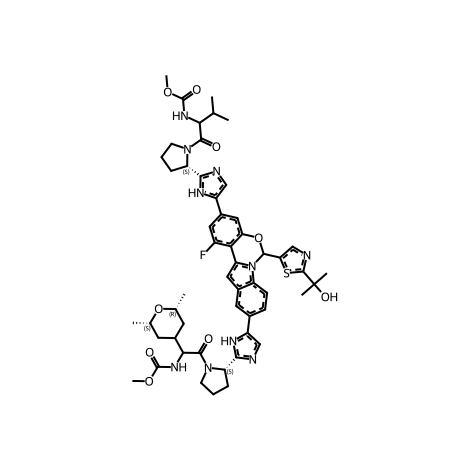 COC(=O)NC(C(=O)N1CCC[C@H]1c1ncc(-c2cc(F)c3c(c2)OC(c2cnc(C(C)(C)O)s2)n2c-3cc3cc(-c4cnc([C@@H]5CCCN5C(=O)C(NC(=O)OC)C5C[C@@H](C)O[C@@H](C)C5)[nH]4)ccc32)[nH]1)C(C)C